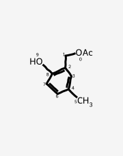 CC(=O)OCc1cc(C)ccc1O